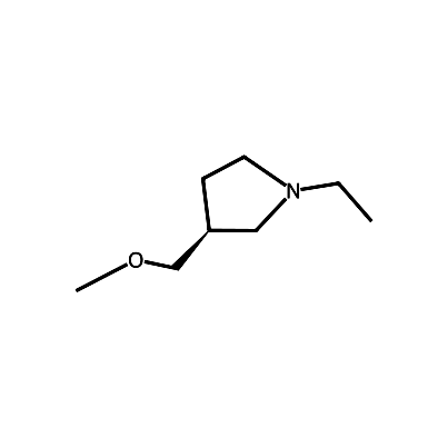 CCN1CC[C@H](COC)C1